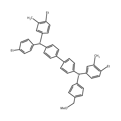 CCc1ccc(N(c2ccc(-c3ccc(N(c4ccc(COC)cc4)c4ccc(CC)c(C)c4)cc3)cc2)c2ccc(CC)c(C)c2)cc1